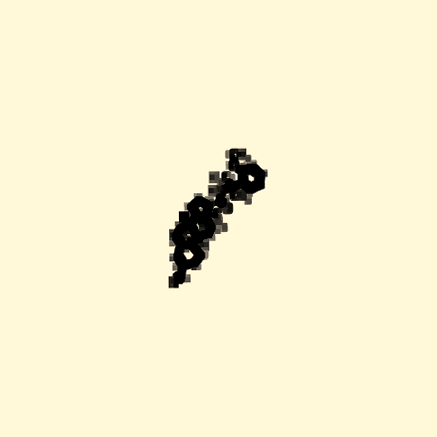 COc1ccccc1C(C)(C)NC(=O)[C@H]1CC[C@H]2[C@@H]3CC=C4C=C(C#N)CC[C@]4(C)[C@H]3CC[C@]12C